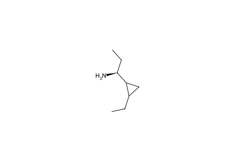 CCC1CC1[C@@H](N)CC